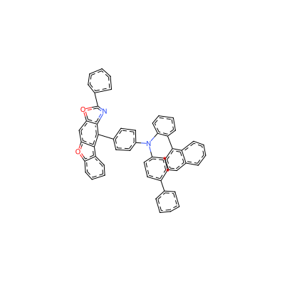 c1ccc(-c2ccc(N(c3ccc(-c4c5nc(-c6ccccc6)oc5cc5oc6ccccc6c45)cc3)c3ccccc3-c3cccc4ccccc34)cc2)cc1